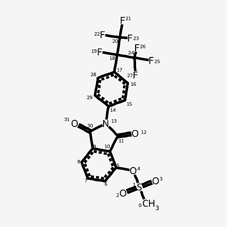 CS(=O)(=O)Oc1cccc2c1C(=O)N(c1ccc(C(F)(C(F)(F)F)C(F)(F)F)cc1)C2=O